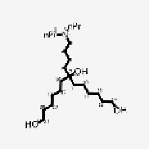 CCCN(CCC)CCCCC(O)(CCCCCCO)CCCCCCO